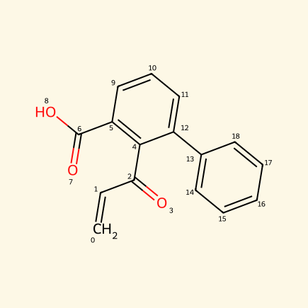 C=CC(=O)c1c(C(=O)O)cccc1-c1ccccc1